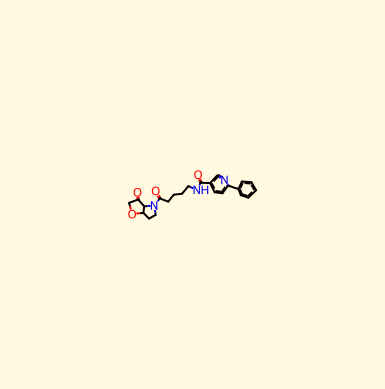 O=C(NCCCCC(=O)N1CCC2OCC(=O)C21)c1ccc(-c2ccccc2)nc1